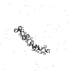 O=[N+]([O-])c1ccc(S(=O)(=O)C2CCN(c3nc(-c4ccc(Cl)cc4)cs3)CC2)cc1